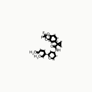 C=C/C=C\C(=C/C)[C@H]1C[C@H](NC(=O)C2(c3ccc4c(c3)OC(F)(F)O4)CC2)CCO1